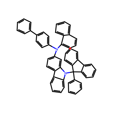 c1ccc(-c2ccc(N(c3ccc4c5ccccc5n(C5(c6ccccc6)c6ccccc6-c6ccccc65)c4c3)c3cccc4ccccc34)cc2)cc1